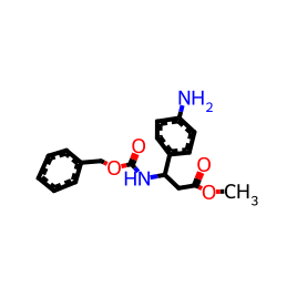 COC(=O)CC(NC(=O)OCc1ccccc1)c1ccc(N)cc1